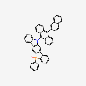 O=P1(c2ccccc2)c2ccccc2-c2cc3c(cc21)c1ccccc1n3-c1c2ccccc2c(-c2ccc3ccccc3c2)c2ccccc12